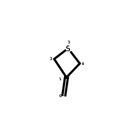 C=C1CSC1